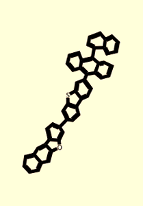 c1ccc2cc3c(cc2c1)oc1cc(-c2ccc4c(c2)sc2cc(-c5c6ccccc6c(-c6cccc7ccccc67)c6ccccc56)ccc24)ccc13